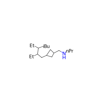 CCCNCC1CC(CC(CC)C(CC)C(C)CC)C1